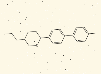 CCCC1CCC(c2ccc(-c3ccc(C)cc3)cc2)OC1